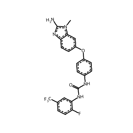 Cn1c(N)nc2ccc(Oc3ccc(NC(=O)Nc4cc(C(F)(F)F)ccc4F)cc3)cc21